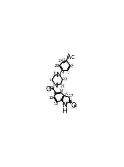 CC(=O)c1ccc(N2CCN(C(=O)c3ccc4c(c3)CC(=O)N4)CC2)cc1